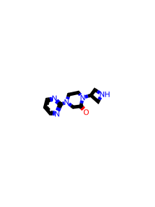 O=C1CN(c2ncccn2)CCN1C1CNC1